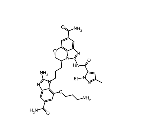 CCn1nc(C)cc1C(=O)Nc1nc2cc(C(N)=O)cc3c2n1[C@@H](CCCn1c(N)nc2cc(C(N)=O)cc(OCCCN)c21)CO3